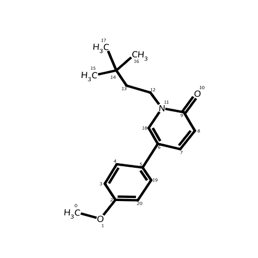 COc1ccc(-c2ccc(=O)n(CCC(C)(C)C)c2)cc1